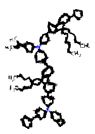 CCCCCCC1(CCCCCC)c2cc(-c3ccccc3)ccc2-c2ccc(-c3ccc(N(c4ccc(-c5ccc6c(c5)C(CCCCCC)(CCCCCC)c5cc(-c7ccc(N(c8ccc(-c9ccccc9)cc8)c8ccc9c(c8)CC9)cc7)ccc5-6)cc4)c4ccc(C(C)CC)cc4)cc3)cc21